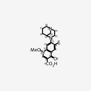 COn1cc(C(=O)O)c(=O)c2cc(F)c(N3CCN4CCCC3C4)cc21